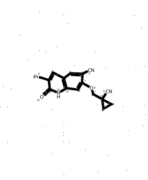 CC(C)c1cc2cc(C#N)c(OCC3(C#N)CC3)cc2[nH]c1=O